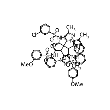 COc1ccc(S(=O)(=O)NC(=O)C(c2cc(C)nn2-c2ccccc2)C(C(=O)NS(=O)(=O)c2cccc(Cl)c2)(c2cc(C)nn2-c2ccccc2)C(C(=O)NS(=O)(=O)c2cccc(OC)c2)c2cc(C)nn2-c2ccccc2)cc1